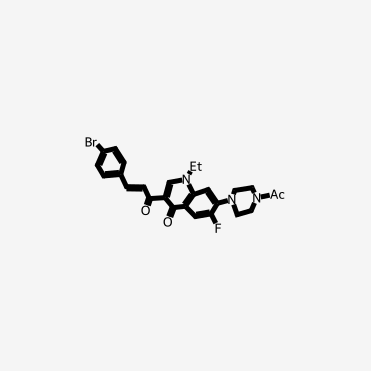 CCn1cc(C(=O)/C=C/c2ccc(Br)cc2)c(=O)c2cc(F)c(N3CCN(C(C)=O)CC3)cc21